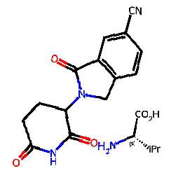 CC(C)[C@H](N)C(=O)O.N#Cc1ccc2c(c1)C(=O)N(C1CCC(=O)NC1=O)C2